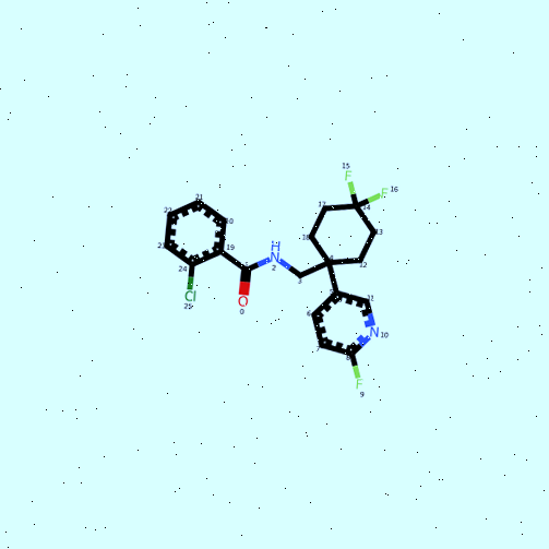 O=C(NCC1(c2ccc(F)nc2)CCC(F)(F)CC1)c1ccccc1Cl